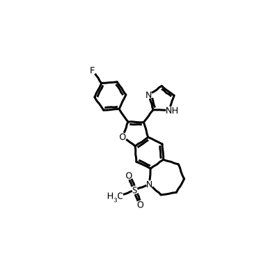 CS(=O)(=O)N1CCCCc2cc3c(-c4ncc[nH]4)c(-c4ccc(F)cc4)oc3cc21